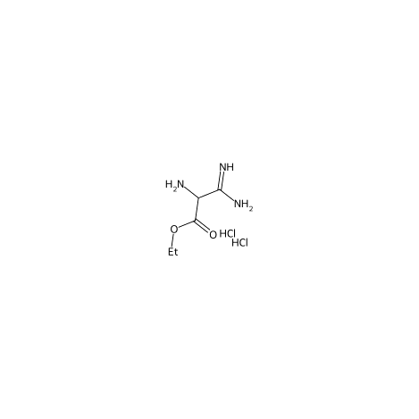 CCOC(=O)C(N)C(=N)N.Cl.Cl